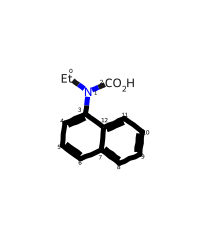 CCN(C(=O)O)c1cccc2ccccc12